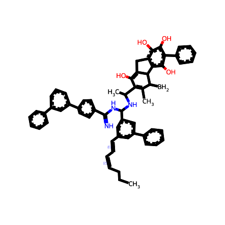 BC1C(C)=C(C(C)NC(NC(=N)c2ccc(-c3cccc(-c4ccccc4)c3)cc2)c2cc(/C=C/C=C\CCC)cc(-c3ccccc3)c2)C(O)=C2Cc3c(O)c(O)c(-c4ccccc4)c(O)c3C21